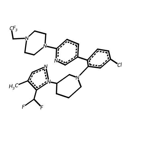 Cc1cnn(C2CCCN(c3cc(Cl)ccc3-c3ccc(N4CCN(CC(F)(F)F)CC4)nc3)C2)c1C(F)F